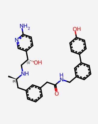 C[C@H](Cc1cccc(CC(=O)NCc2cccc(-c3ccc(O)cc3)c2)c1)NC[C@@H](O)c1ccc(N)nc1